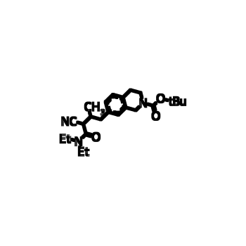 CCN(CC)C(=O)C(C#N)C(C)Cc1ccc2c(c1)CN(C(=O)OC(C)(C)C)CC2